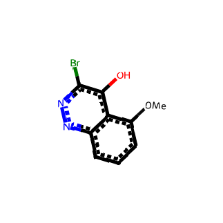 COc1cccc2nnc(Br)c(O)c12